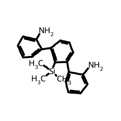 C[Si](C)(C)c1c(-c2ccccc2N)cccc1-c1ccccc1N